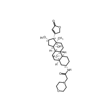 CC(=O)O[C@H]1C[C@]2(O)[C@@H]3CC[C@@H]4C[C@@H](NC(=O)CN5CCOCC5)CC[C@]4(C)[C@H]3CC[C@]2(C)[C@H]1C1=CC(=O)OC1